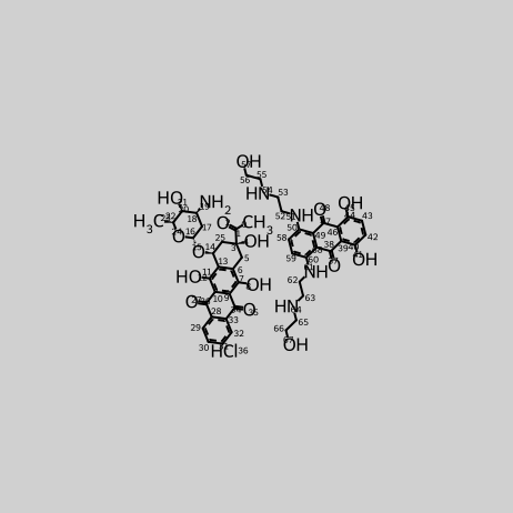 CC(=O)[C@]1(O)Cc2c(O)c3c(c(O)c2[C@@H](O[C@H]2C[C@H](N)[C@H](O)[C@H](C)O2)C1)C(=O)c1ccccc1C3=O.Cl.O=C1c2c(O)ccc(O)c2C(=O)c2c(NCCNCCO)ccc(NCCNCCO)c21